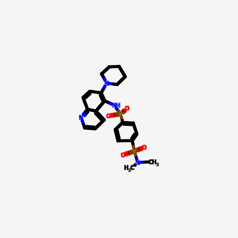 CN(C)S(=O)(=O)c1ccc(S(=O)(=O)Nc2c(N3CCCCC3)ccc3ncccc23)cc1